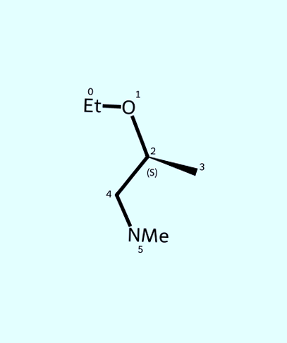 CCO[C@@H](C)CNC